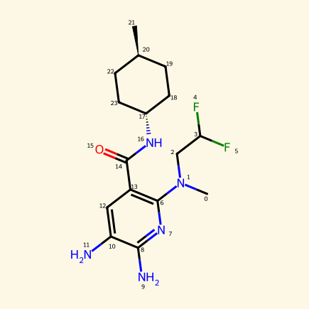 CN(CC(F)F)c1nc(N)c(N)cc1C(=O)N[C@H]1CC[C@H](C)CC1